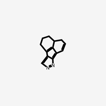 C1=CC2=C3N=NC=C3C3=C2C(C1)CCC3